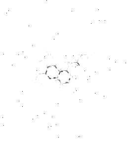 CNC(=O)Nc1nc(Cl)nc2cc(OC)c(OC)cc12